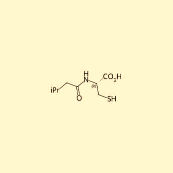 CC(C)CC(=O)N[C@@H](CS)C(=O)O